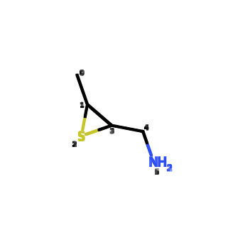 CC1SC1CN